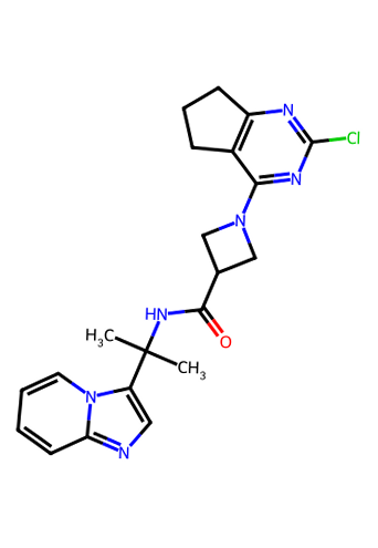 CC(C)(NC(=O)C1CN(c2nc(Cl)nc3c2CCC3)C1)c1cnc2ccccn12